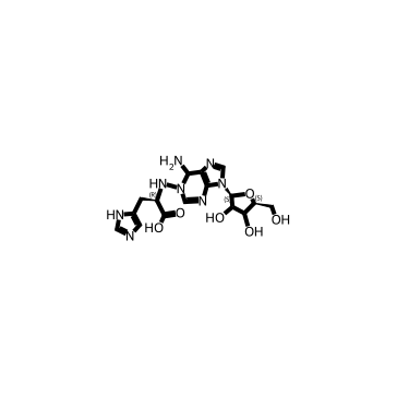 NC1c2ncn([C@H]3O[C@@H](CO)C(O)C3O)c2N=CN1N[C@H](Cc1cnc[nH]1)C(=O)O